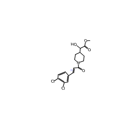 COC(=O)C(O)C1CCN(C(=O)/C=C/c2ccc(Cl)c(Cl)c2)CC1